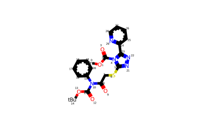 CC(C)OC(=O)n1c(SCC(=O)N(C(=O)OC(C)(C)C)c2ccccc2)nnc1-c1ccccn1